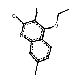 CCOc1c(F)c(Cl)nc2cc(C)ccc12